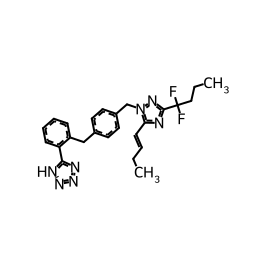 CC/C=C/c1nc(C(F)(F)CCC)nn1Cc1ccc(Cc2ccccc2-c2nnn[nH]2)cc1